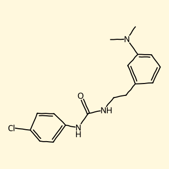 CN(C)c1cccc(CCNC(=O)Nc2ccc(Cl)cc2)c1